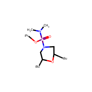 CCC(C)C1CN(P(=O)(OC(C)C)N(C)C)CC(C(C)CC)O1